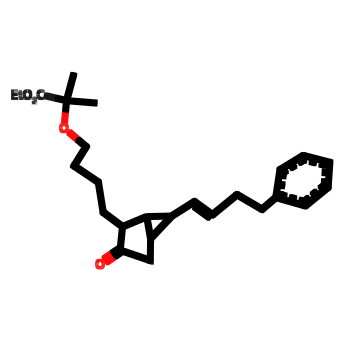 CCOC(=O)C(C)(C)OCCCCC1C(=O)CC2C(C=CCCc3ccccc3)C12